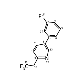 CC(C)c1cccc(-c2ccc(CC(F)(F)F)nc2)c1